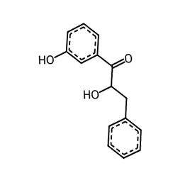 O=C(c1cccc(O)c1)C(O)Cc1ccccc1